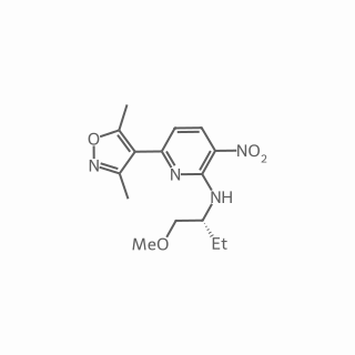 CC[C@H](COC)Nc1nc(-c2c(C)noc2C)ccc1[N+](=O)[O-]